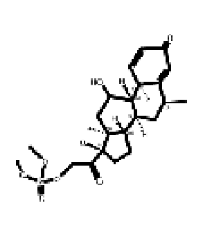 COP(=O)(OC)OCC(=O)[C@@]1(O)CC[C@H]2[C@@H]3C[C@H](C)C4=CC(=O)C=C[C@]4(C)[C@H]3C(O)C[C@@]21C